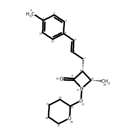 Cc1ccc(/C=C/C[C@H]2C(=O)N(OC3CCCCO3)[C@H]2C)cc1